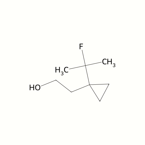 CC(C)(F)C1(CCO)CC1